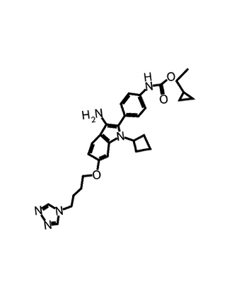 CC(OC(=O)Nc1ccc(-c2c(N)c3ccc(OCCCCn4cnnc4)cc3n2C2CCC2)cc1)C1CC1